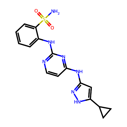 NS(=O)(=O)c1ccccc1Nc1nccc(Nc2cc(C3CC3)[nH]n2)n1